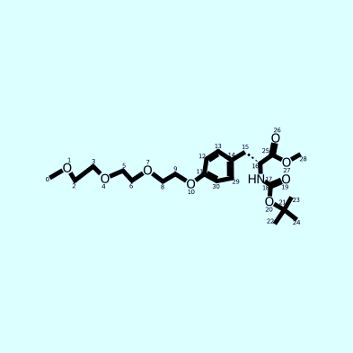 COCCOCCOCCOc1ccc(C[C@@H](NC(=O)OC(C)(C)C)C(=O)OC)cc1